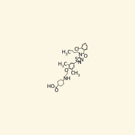 CCCCN(C(=O)c1ccccc1Cl)c1nnc(-c2cc(C)c(OCCNC3CCC(C(=O)O)CC3)c(C)c2)s1